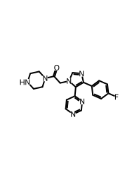 O=C(Cn1cnc(-c2ccc(F)cc2)c1-c1ccncn1)N1CCNCC1